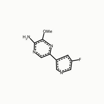 COc1nc(-c2cncc(F)c2)cnc1N